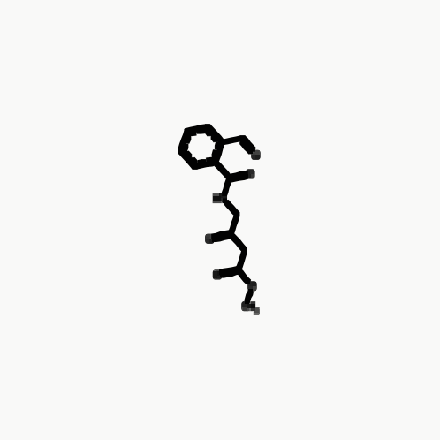 COC(=O)CC(=O)CNC(=O)c1ccccc1C=O